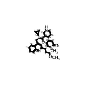 COCCCc1cc(CN(C(=O)C2CNCC[C@@H]2c2ccn(C)c(=O)c2)C2CC2)c2ccccc2n1